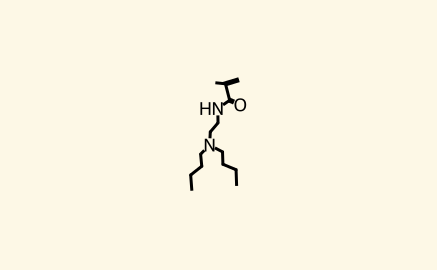 C=C(C)C(=O)NCCN(CCCC)CCCC